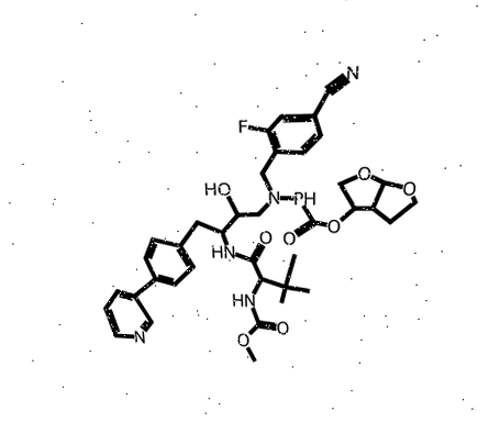 COC(=O)NC(C(=O)NC(Cc1ccc(-c2cccnc2)cc1)C(O)CN(Cc1ccc(C#N)cc1F)PC(=O)OC1COC2OCCC12)C(C)(C)C